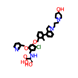 Cc1c(COc2cc(OCc3cccnc3)c(CN[C@@H](CO)C(=O)O)cc2Cl)cccc1-c1cccc2c1CCN2CCCN1CCC(O)CC1